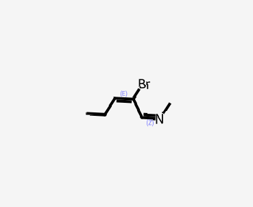 CC/C=C(Br)\C=N/C